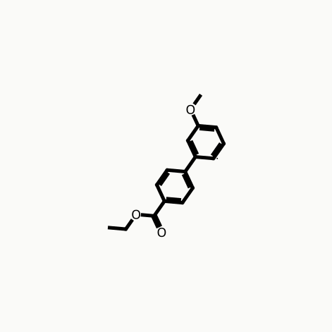 CCOC(=O)c1ccc(-c2[c]ccc(OC)c2)cc1